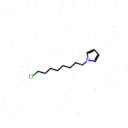 ClCCCCCCCCn1cccc1